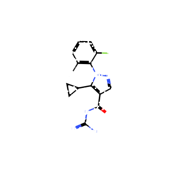 N=C(N)NC(=O)c1cnn(-c2c(F)cccc2C(F)(F)F)c1C1CC1